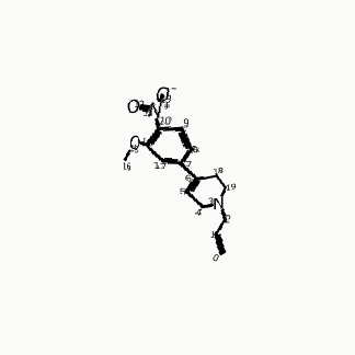 C=CCN1CC=C(c2ccc([N+](=O)[O-])c(OC)c2)CC1